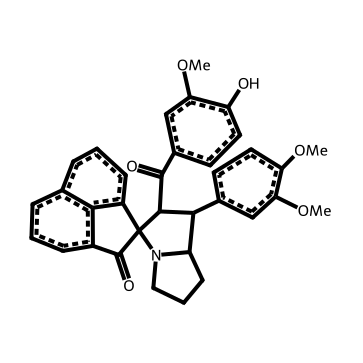 COc1cc(C(=O)C2C(c3ccc(OC)c(OC)c3)C3CCCN3C23C(=O)c2cccc4cccc3c24)ccc1O